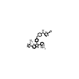 Cc1nncn1-c1ccc2nc(-c3cccnc3N)n(-c3ccc(CN4CCC(Nc5ccnc(C#N)n5)CC4)cc3)c2n1